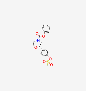 CS(=O)(=O)Oc1ccc([C@H]2CN(C(=O)Oc3ccccc3)CCO2)cc1